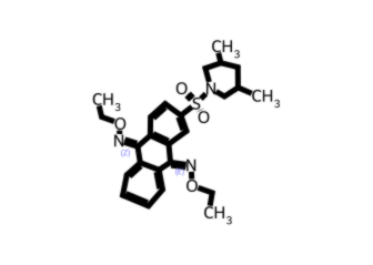 CCO/N=C1/c2ccccc2/C(=N\OCC)c2cc(S(=O)(=O)N3CC(C)CC(C)C3)ccc21